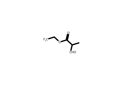 CC([C]=O)C(=O)OCC(F)(F)F